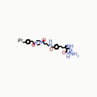 CC(C)Cc1ccc(CC(=O)N2CCN(C(=O)CCCNC(=O)c3ccc(CCc4c[nH]c5nc(N)[nH]c(=O)c45)cc3)CC2)cc1